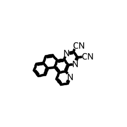 N#Cc1nc2c3ccc4ccccc4c3c3cccnc3c2nc1C#N